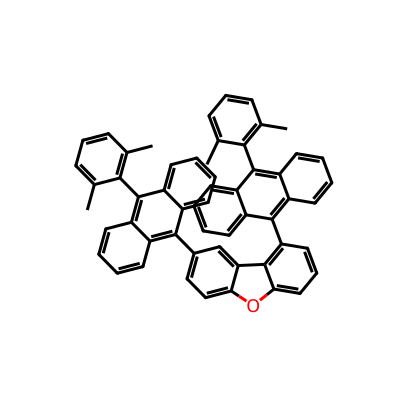 Cc1cccc(C)c1-c1c2ccccc2c(-c2ccc3oc4cccc(-c5c6ccccc6c(-c6c(C)cccc6C)c6ccccc56)c4c3c2)c2ccccc12